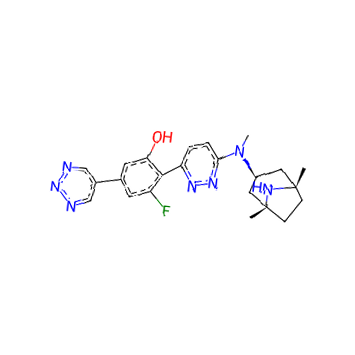 CN(c1ccc(-c2c(O)cc(-c3cnnnc3)cc2F)nn1)[C@H]1C[C@]2(C)CC[C@](C)(C1)N2